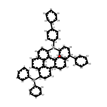 c1ccc(B(c2ccccc2)c2ccc3c4ccccc4c4c(N(c5ccc(-c6ccccc6)cc5)c5ccc(-c6ccccc6)cc5)ccc5ccc2c3c54)cc1